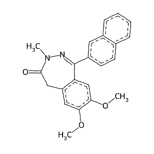 COc1cc2c(cc1OC)C(c1ccc3ccccc3c1)=NN(C)C(=O)C2